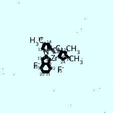 CC1=C(C)C(C)=[C]([Zr+2][CH]2C(n3cc(C)cc3C)=Cc3ccccc32)C1.[F-].[F-]